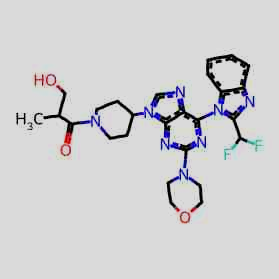 CC(CO)C(=O)N1CCC(n2cnc3c(-n4c(C(F)F)nc5ccccc54)nc(N4CCOCC4)nc32)CC1